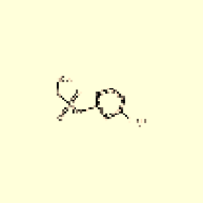 CCCCCCCCCS(=O)(=O)Nc1cccc(C(=O)O)c1